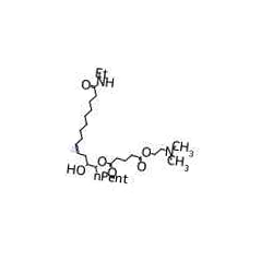 CCCCCC(OC(=O)CCCC(=O)OCCN(C)C)C(O)C/C=C\CCCCCCCC(=O)NCC